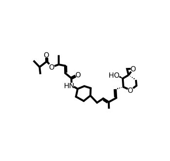 CC(C=C[C@H]1OCC[C@@]2(CO2)[C@@H]1O)=CCC1CCC(NC(=O)C=CC(C)OC(=O)C(C)C)CC1